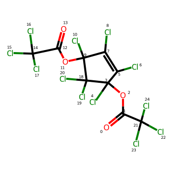 O=C(OC1(Cl)C(Cl)=C(Cl)C(Cl)(OC(=O)C(Cl)(Cl)Cl)C1(Cl)Cl)C(Cl)(Cl)Cl